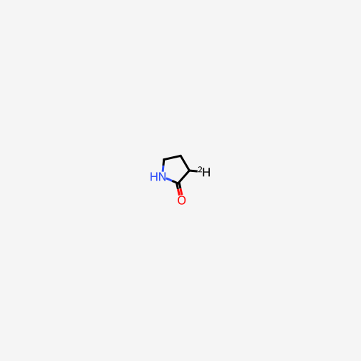 [2H]C1CCNC1=O